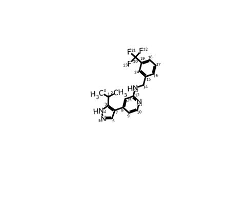 CC(C)c1[nH]ncc1-c1ccnc(NCc2cccc(C(F)(F)F)c2)c1